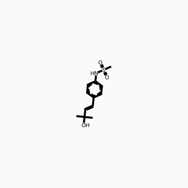 CC(C)(O)C=Cc1ccc(NS(C)(=O)=O)cc1